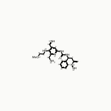 C=C(CC(NC(=O)Nc1cc(C=N)c(NCCOC)c(CN)n1)c1ccccc1)N=N